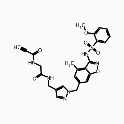 C#CC(=O)NCC(=O)NCc1cnn(Cc2cc(C)c3c(NS(=O)(=O)c4ccccc4OC)noc3c2)c1